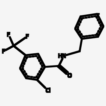 O=C(NCc1cc[c]cc1)c1cc(C(F)(F)F)ccc1Cl